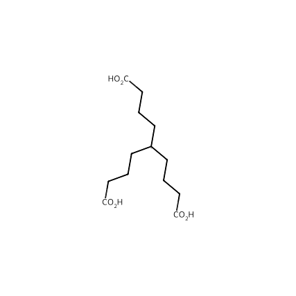 O=C(O)CCC[C](CCCC(=O)O)CCCC(=O)O